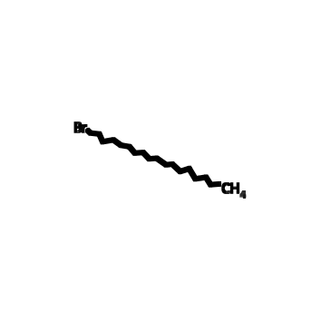 C.CCCCCCCCCCCCCCCCCCBr